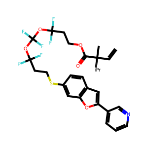 C=CC(C)(C(=O)OCCC(F)(F)OC(F)(F)OC(F)(F)CCSc1ccc2cc(-c3cccnc3)oc2c1)C(C)C